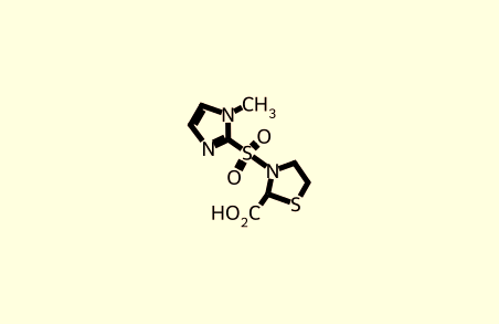 Cn1ccnc1S(=O)(=O)N1CCSC1C(=O)O